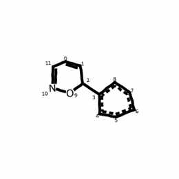 C1=CC(c2ccccc2)ON=C1